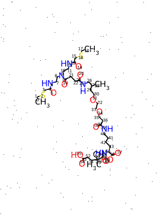 CCSCC(=O)NCCN(CCNC(=O)CSCC)C(=O)CCC(=O)NCC(C)CCOCCOCCC(=O)NCCCC[C@H](NC(=O)C(C)(C)CCC(=O)O)C(=O)O